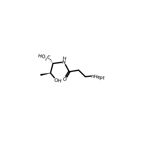 CCCCCCCCCC(=O)N[C@@H](C(=O)O)[C@H](C)O